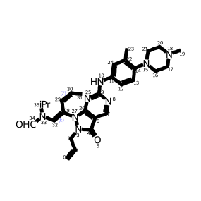 C=CCn1c(=O)c2cnc(Nc3ccc(N4CCN(C)CC4)c(C)c3)nc2n1C(/C=C\C)=C/N(C=O)C(C)C